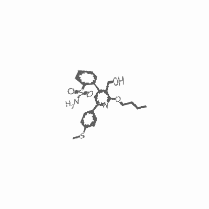 CCCCOc1nc(-c2ccc(SC)cc2)cc(-c2ccccc2S(N)(=O)=O)c1CO